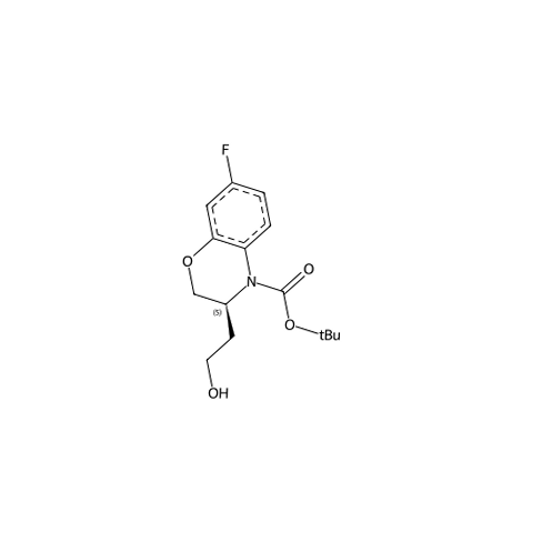 CC(C)(C)OC(=O)N1c2ccc(F)cc2OC[C@@H]1CCO